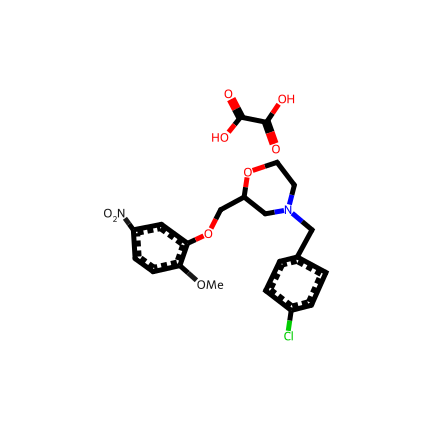 COc1ccc([N+](=O)[O-])cc1OCC1CN(Cc2ccc(Cl)cc2)CCO1.O=C(O)C(=O)O